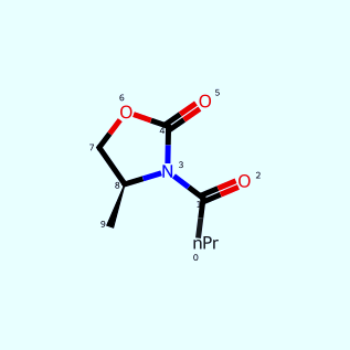 CCCC(=O)N1C(=O)OC[C@@H]1C